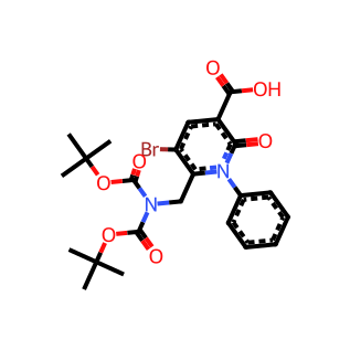 CC(C)(C)OC(=O)N(Cc1c(Br)cc(C(=O)O)c(=O)n1-c1ccccc1)C(=O)OC(C)(C)C